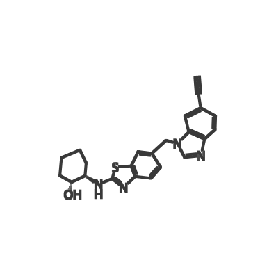 C#Cc1ccc2ncn(Cc3ccc4nc(N[C@@H]5CCCC[C@H]5O)sc4c3)c2c1